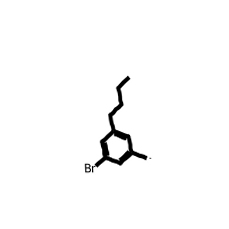 [CH2]c1cc(Br)cc(CCCC)c1